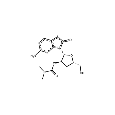 CN(C)C(=O)O[C@@H]1C[C@@H](CO)O[C@H]1n1c(=O)sc2cnc(N)nc21